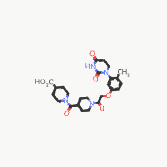 Cc1ccc(OCC(=O)N2CCC(C(=O)N3CCC(C(=O)O)CC3)CC2)cc1N1CCC(=O)NC1=O